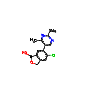 CSc1ncc(-c2cc3c(cc2Cl)COB3O)c(C)n1